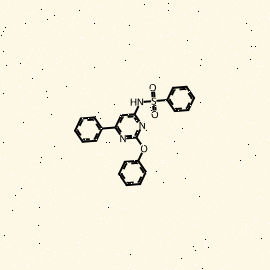 O=S(=O)(Nc1cc(-c2ccccc2)nc(Oc2ccccc2)n1)c1ccccc1